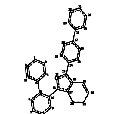 c1cccc(-c2ccccc2-c2oc(-c3ccc(-c4ccccc4)cn3)c3c2CCC=C3)c#1